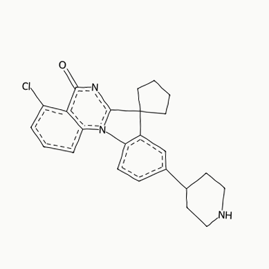 O=c1nc2n(c3cccc(Cl)c13)-c1ccc(C3CCNCC3)cc1C21CCCC1